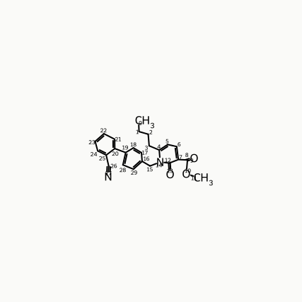 CCCCc1ccc(C(=O)OC)c(=O)n1Cc1ccc(-c2ccccc2C#N)cc1